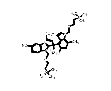 COc1cc(C)c2c(ccn2COCC[Si](C)(C)C)c1C(C)(C=CC(=O)O)c1nc2cc(C#N)ccc2n1COCC[Si](C)(C)C